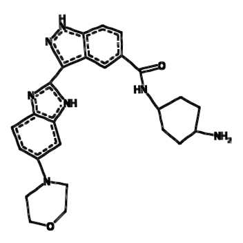 NC1CCC(NC(=O)c2ccc3[nH]nc(-c4nc5ccc(N6CCOCC6)cc5[nH]4)c3c2)CC1